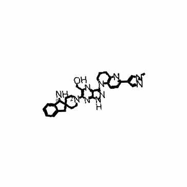 Cn1cc(-c2ccc3c(n2)CCCN3c2n[nH]c3nc(N4CCC5(CC4)Cc4ccccc4[C@H]5N)c(CO)nc23)cn1